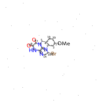 COc1ccc(Cn2c(=O)c(=O)[nH]c3ncc(Br)nc32)cc1